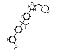 COc1cncc(-c2ccc(C(C)(c3ccc(-c4noc(CN5CCOCC5)n4)cn3)C(C)C)cc2)c1